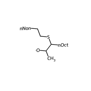 CCCCCCCCCCCSC(CCCCCCCC)C(C)[O]